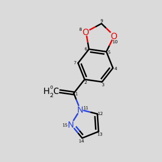 C=C(c1ccc2c(c1)OCO2)n1cccn1